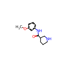 COc1cccc(NC(=O)C2CCCNC2)c1